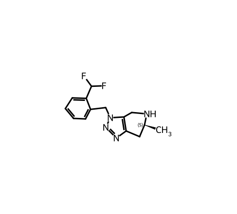 C[C@H]1Cc2nnn(Cc3ccccc3C(F)F)c2CN1